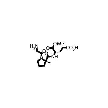 COC(=O)[C@H](CCC(=O)O)NC(=O)[C@]1(C)CCCN1C(=O)CN